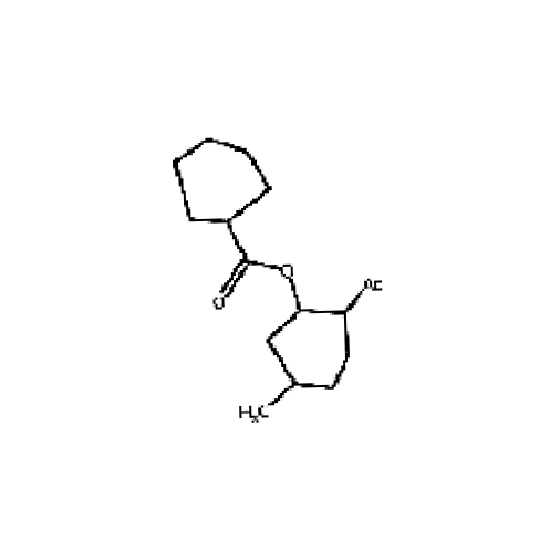 CC(=O)C1CCC(C)CC1OC(=O)C1CCCCC1